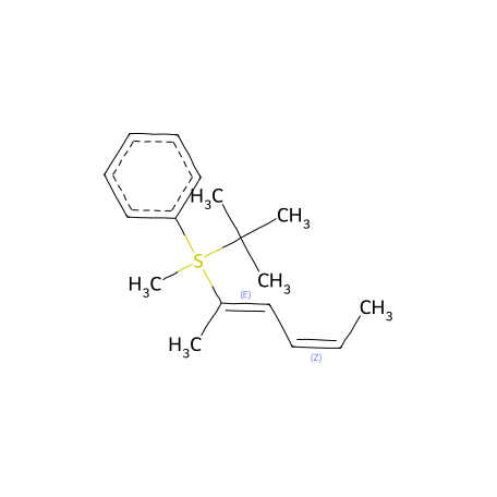 C/C=C\C=C(/C)S(C)(c1ccccc1)C(C)(C)C